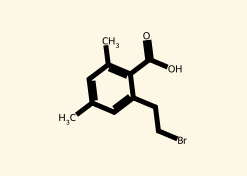 Cc1cc(C)c(C(=O)O)c(CCBr)c1